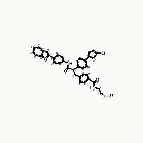 Cc1ccc(-c2ccc(C(Cc3ccc(C(=O)NCCS(=O)(=O)O)cc3)C(=O)Nc3ccc(-c4cc5ccccc5o4)cc3)cc2)s1